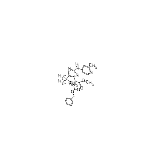 COC(=O)C(NC(=O)OCc1ccccc1)c1nc(Nc2ccnc(C)c2)ncc1C(C)(C)C